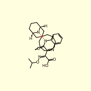 CC(C)O/N=C(\C(=O)O)c1nc2ccccc2n([C@H]2C[C@H]3CCC[C@@H](C2)N3[C@@H]2CCCCCC[C@@H](C)C2)c1=O